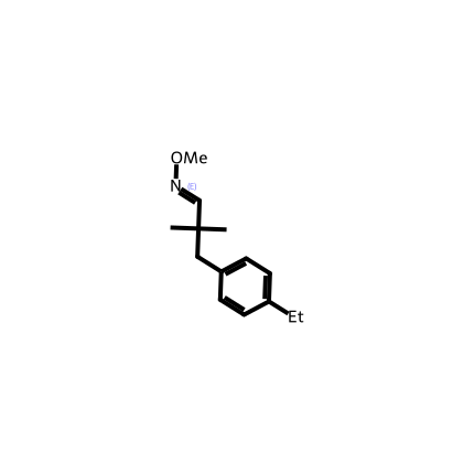 CCc1ccc(CC(C)(C)/C=N/OC)cc1